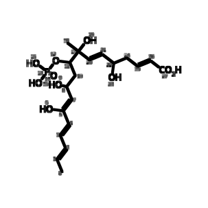 C/C=C/C=C/C(O)=C/C(O)CC(OP(=O)(O)O)C(C)(O)/C=C/C(O)C/C=C/C(=O)O